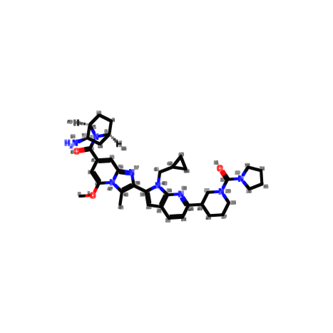 COc1cc(C(=O)N2[C@H]3CC[C@@H]2[C@H](N)C3)cc2nc(-c3cc4ccc(C5CCCN(C(=O)N6CCCC6)C5)nc4n3CC3CC3)c(C)n12